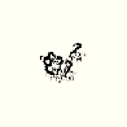 OC(CC(O)C(F)(F)F)c1cccs1.OC(CC(O)C(F)(F)F)c1cccs1.OC(CC(O)C(F)(F)F)c1cccs1.[Eu].c1cnc2c(c1)ccc1cccnc12